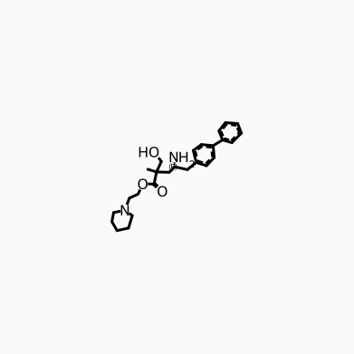 CC(CO)(C[C@H](N)Cc1ccc(-c2ccccc2)cc1)C(=O)OCCN1CCCCC1